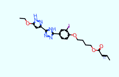 C/C=C/C(=O)OCCCCOc1ccc(-c2nnc(-c3cc(OCC)[nH]n3)[nH]2)cc1I